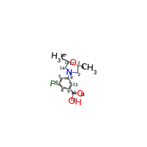 CC1CN(c2cc(F)cc(C(=O)O)c2)CC(C)O1